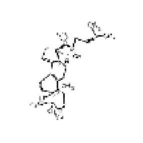 CC(C)=CC[C@@H](O)[C@@H](C)[C@H]1CC=C2C3=C(CC[C@@]21C)[C@@]1(C)CC[C@H](O)C(C)(C)[C@@H]1CC3